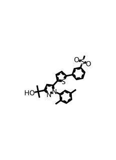 Cc1ccc(C)c(-n2nc(C(C)(C)O)cc2-c2ccc(-c3cccc(S(C)(=O)=O)c3)s2)c1